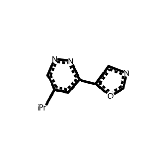 CC(C)c1cnnc(-c2cnco2)c1